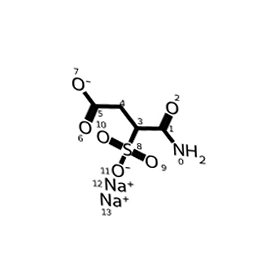 NC(=O)C(CC(=O)[O-])S(=O)(=O)[O-].[Na+].[Na+]